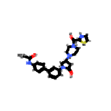 CC(=O)Nc1ccc(-c2cccc(N3CC(N4CCN(C(=O)c5nccs5)CC4)CC3=O)c2)cc1